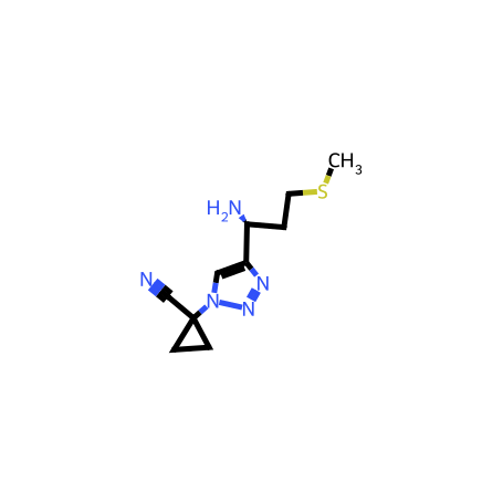 CSCC[C@H](N)c1cn(C2(C#N)CC2)nn1